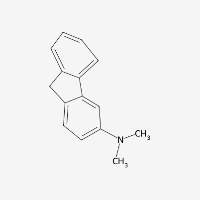 CN(C)c1ccc2c(c1)-c1ccccc1C2